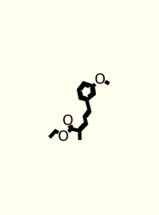 CCOC(=O)C(C)=CC=Cc1cccc(OC)c1